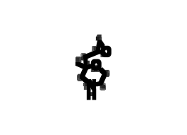 CC1(CC2CO2)CNCCO1